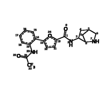 O=C(NC1CC2CNC1C2)c1ccc(-c2ccccc2NC(=O)C(F)(F)F)o1